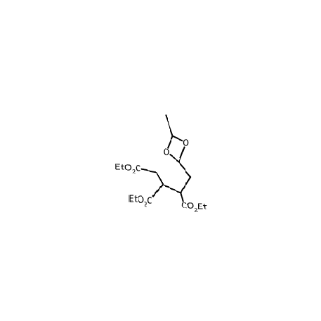 CCOC(=O)CC(C(=O)OCC)C(CC1OC(C)O1)C(=O)OCC